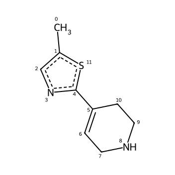 Cc1cnc(C2=CCNCC2)s1